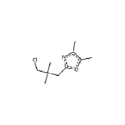 Cc1nc(CC(C)(C)CCl)oc1C